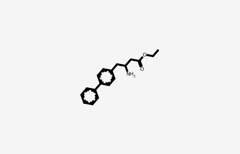 CCOC(=O)CC(N)Cc1ccc(-c2ccccc2)cc1